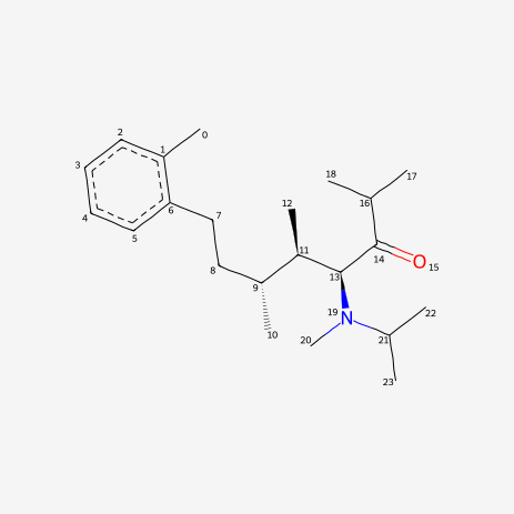 Cc1ccccc1CC[C@@H](C)[C@@H](C)[C@@H](C(=O)C(C)C)N(C)C(C)C